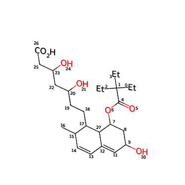 CCC(CC)(CC)C(=O)OC1CC(O)C=C2C=CC(C)C(CCC(O)CC(O)CC(=O)O)C21